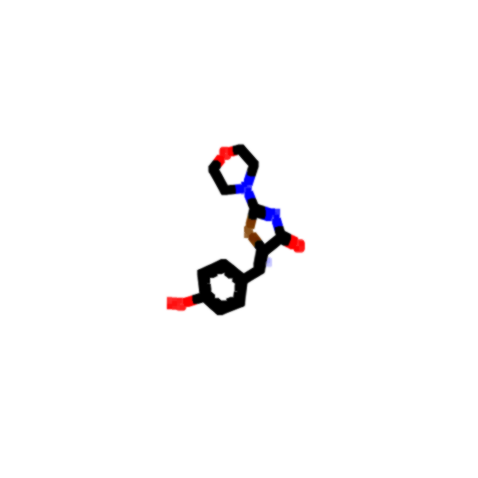 O=C1N=C(N2CCOCC2)S/C1=C\c1ccc(O)cc1